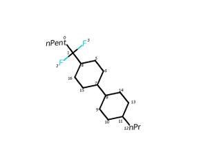 CCCCCC(F)(F)C1CCC(C2CCC(CCC)CC2)CC1